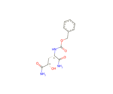 NC(=O)[C@H](C[C@H](O)C(N)=O)NC(=O)OCc1ccccc1